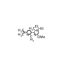 CCC(CC)N1C=C(OC)N=C(c2ccc(N(C)C)nc2C)C1C